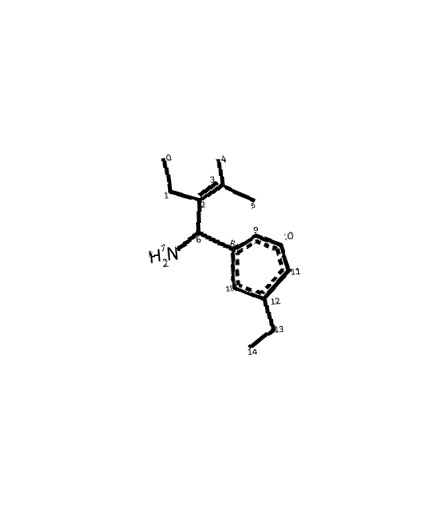 CCC(=C(C)C)C(N)c1cccc(CC)c1